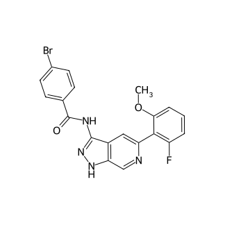 COc1cccc(F)c1-c1cc2c(NC(=O)c3ccc(Br)cc3)n[nH]c2cn1